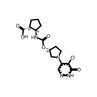 O=C(N[C@@H]1CCC[C@H]1C(=O)O)O[C@@H]1CCN(c2cn[nH]c(=O)c2Cl)C1